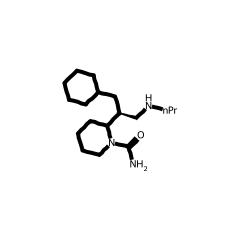 CCCNC[C@H](CC1CCCCC1)C1CCCCN1C(N)=O